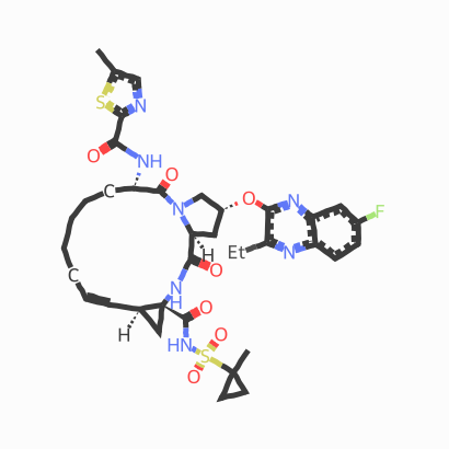 CCc1nc2ccc(F)cc2nc1O[C@@H]1C[C@H]2C(=O)N[C@]3(C(=O)NS(=O)(=O)C4(C)CC4)C[C@H]3/C=C\CCCCC[C@H](NC(=O)c3ncc(C)s3)C(=O)N2C1